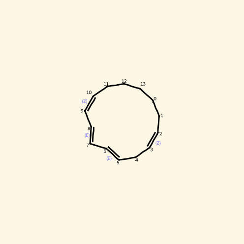 [CH]1C/C=C\C/C=C/C=C/C=C\CCC1